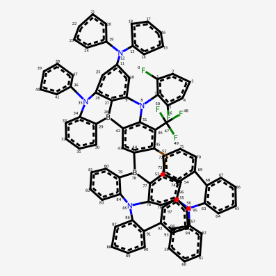 Fc1cccc(F)c1N1c2cc(N(c3ccccc3)c3ccccc3)cc3c2B(c2ccccc2N3c2ccccc2)c2cc3c(c(C(F)(F)F)c21)Sc1cc(N(c2ccccc2)c2ccccc2-c2ccccc2)cc2c1B3c1ccccc1N2c1ccccc1-c1ccccc1